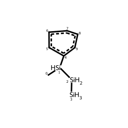 C[SiH]([SiH2][SiH3])c1ccccc1